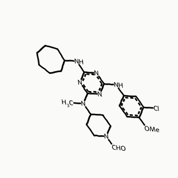 COc1ccc(Nc2nc(NC3CCCCCC3)nc(N(C)C3CCN(C=O)CC3)n2)cc1Cl